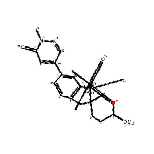 COC1CCC2(CC1)Cc1ccc(-c3cnn(C)c(=O)c3)cc1C21NC(=O)N(C)C1=O